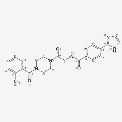 O=C(NCC(=O)N1CCN(C(=O)c2ccccc2C(F)(F)F)CC1)c1ccc(-c2ncc[nH]2)cc1